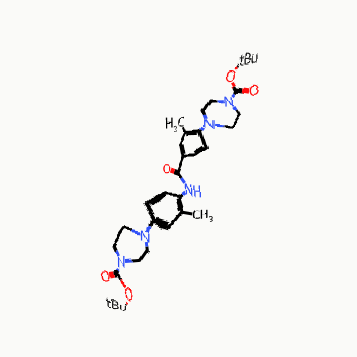 Cc1cc(N2CCN(C(=O)OC(C)(C)C)CC2)ccc1NC(=O)c1ccc(N2CCN(C(=O)OC(C)(C)C)CC2)c(C)c1